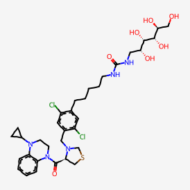 O=C(NCCCCCc1cc(Cl)c(CN2CSC[C@H]2C(=O)N2CCN(C3CC3)c3ccccc32)cc1Cl)NC[C@@H](O)[C@H](O)[C@@H](O)[C@@H](O)CO